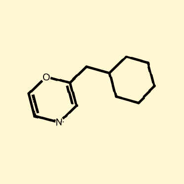 C1=COC(CC2CCCCC2)=C[N]1